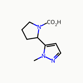 Cn1nccc1C1CCCN1C(=O)O